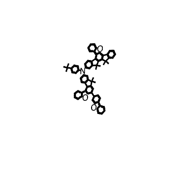 CC(C)(C)c1ccc(N(c2ccc3c(c2)C(C)(C)c2cc(-c4ccc5c(c4)oc4ccccc45)c4oc5ccccc5c4c2-3)c2ccc3c(c2)C(C)(C)c2c4c(c5oc6ccccc6c5c2-3)-c2ccccc2C4(C)C)cc1